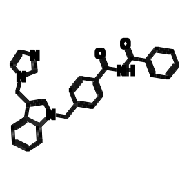 O=C(NC(=O)c1ccc(Cn2cc(Cn3ccnc3)c3ccccc32)cc1)c1ccccc1